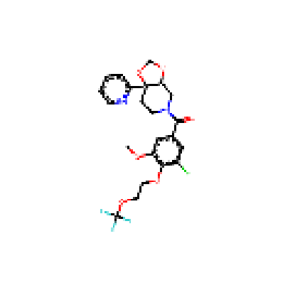 COc1cc(C(=O)N2CC[C@]3(c4ccccn4)OCOC3C2)cc(Cl)c1OCCOC(F)(F)F